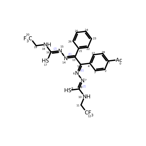 CC(=O)c1ccc(C(=N\N=C(/S)NCC(F)(F)F)/C(=N/N=C(\S)NCC(F)(F)F)c2ccccc2)cc1